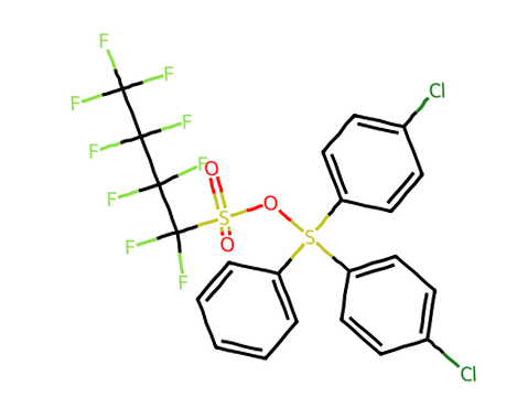 O=S(=O)(OS(c1ccccc1)(c1ccc(Cl)cc1)c1ccc(Cl)cc1)C(F)(F)C(F)(F)C(F)(F)C(F)(F)F